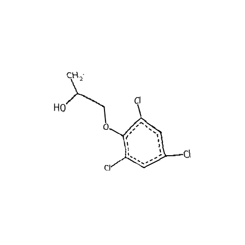 [CH2]C(O)COc1c(Cl)cc(Cl)cc1Cl